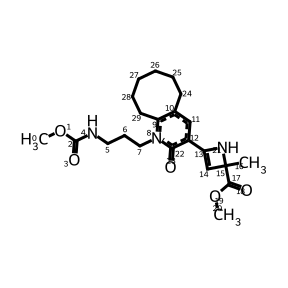 COC(=O)NCCCn1c2c(cc(C3=CC(C)(C(=O)OC)N3)c1=O)CCCCCC2